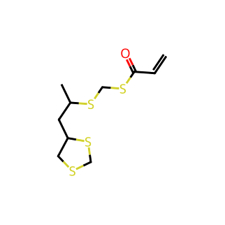 C=CC(=O)SCSC(C)CC1CSCS1